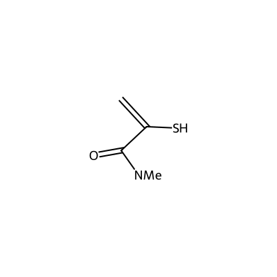 C=C(S)C(=O)NC